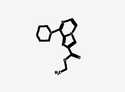 CCOC(=O)c1cn2ccnc(N3CCCCC3)c2n1